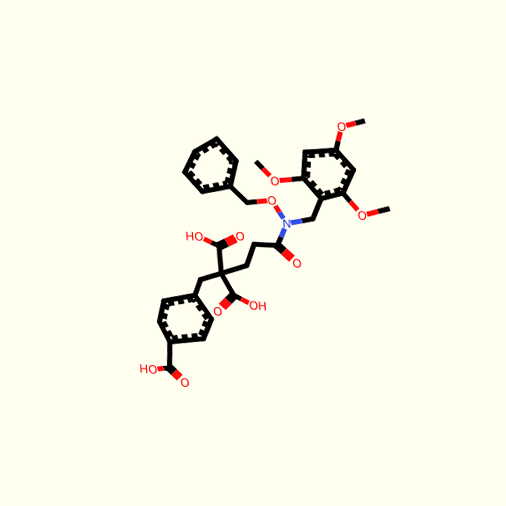 COc1cc(OC)c(CN(OCc2ccccc2)C(=O)CCC(Cc2ccc(C(=O)O)cc2)(C(=O)O)C(=O)O)c(OC)c1